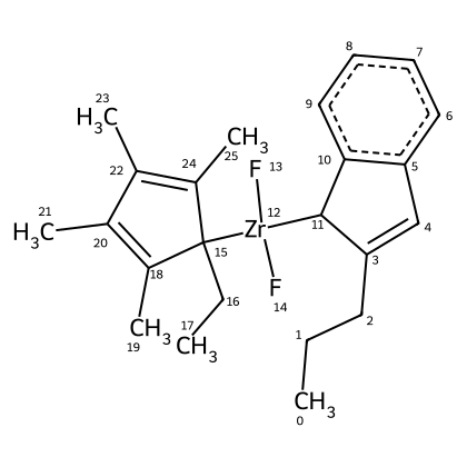 CCCC1=Cc2ccccc2[CH]1[Zr]([F])([F])[C]1(CC)C(C)=C(C)C(C)=C1C